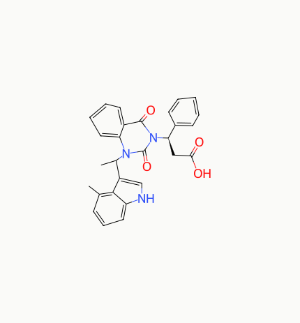 Cc1cccc2[nH]cc(C(C)n3c(=O)n([C@H](CC(=O)O)c4ccccc4)c(=O)c4ccccc43)c12